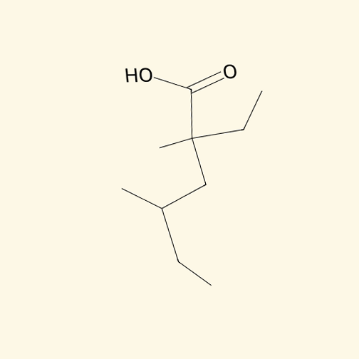 CCC(C)CC(C)(CC)C(=O)O